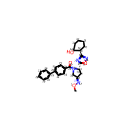 CO/N=C1/C[C@@H](c2nc([C@@H]3CCCCC3O)no2)N(C(=O)c2ccc(-c3ccccc3)cc2)C1